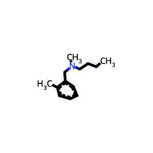 CCCCN(C)Cc1ccccc1C